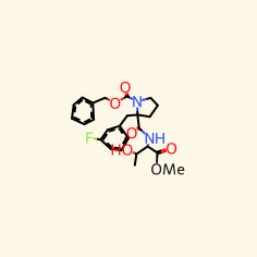 COC(=O)C(NC(=O)C1(Cc2cccc(F)c2)CCCN1C(=O)OCc1ccccc1)C(C)O